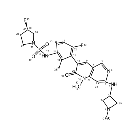 CC(=O)N1CC(Nc2ncc3cc(-c4c(F)ccc(NS(=O)(=O)N5CC[C@@H](F)C5)c4F)c(=O)n(C)c3n2)C1